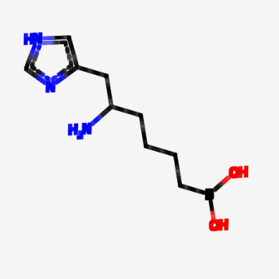 NC(CCCCB(O)O)Cc1c[nH]cn1